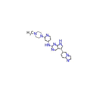 CN1CCN(c2cc(Nc3ncc4c(-c5ccc6nccn6c5)c[nH]c4n3)ccn2)CC1